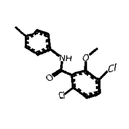 COc1c(Cl)ccc(Cl)c1C(=O)Nc1ccc(C)cc1